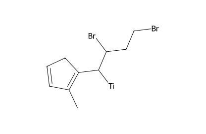 CC1=C([CH]([Ti])C(Br)CCBr)CC=C1